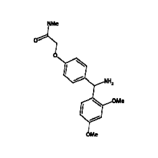 CNC(=O)COc1ccc(C(N)c2ccc(OC)cc2OC)cc1